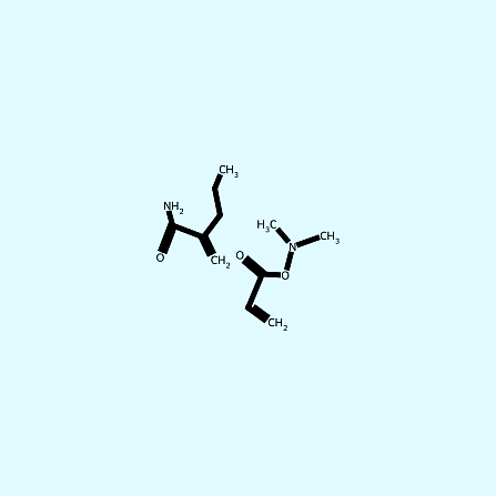 C=C(CCC)C(N)=O.C=CC(=O)ON(C)C